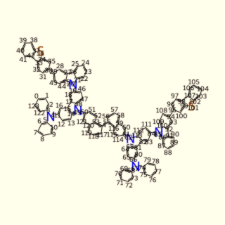 c1ccc(N(c2ccccc2)c2ccc3c(c2)c2cc(-n4c5ccccc5c5cc(-c6ccc7c(c6)sc6ccccc67)ccc54)ccc2n3-c2ccc3c(-c4cccc5cc(-n6c7ccc(N(c8ccccc8)c8ccccc8)cc7c7cc(-n8c9ccccc9c9cc(-c%10ccc%11c(c%10)sc%10ccccc%10%11)ccc98)ccc76)ccc45)cccc3c2)cc1